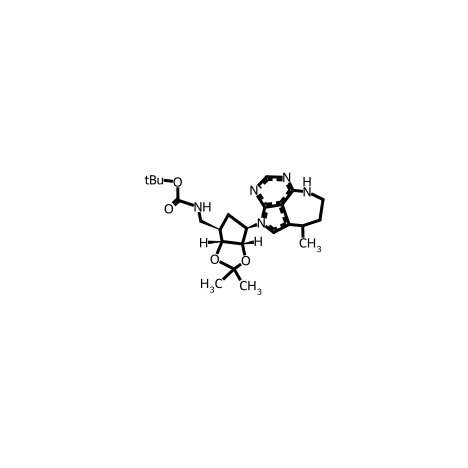 CC1CCNc2ncnc3c2c1cn3[C@@H]1C[C@H](CNC(=O)OC(C)(C)C)[C@H]2OC(C)(C)O[C@H]21